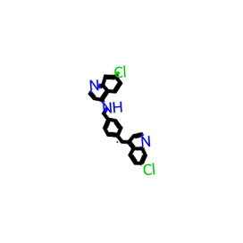 Clc1ccc2c([CH]c3ccc(CNc4ccnc5cc(Cl)ccc45)cc3)ccnc2c1